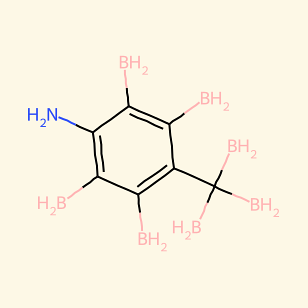 Bc1c(B)c(C(B)(B)B)c(B)c(B)c1N